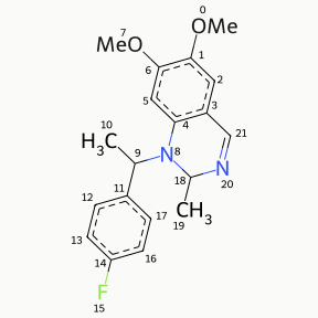 COc1cc2c(cc1OC)N(C(C)c1ccc(F)cc1)C(C)N=C2